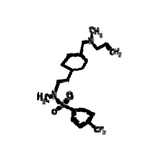 C=CCN(C)CC1CCC(CCN(C)S(=O)(=O)c2ccc(C(F)(F)F)cc2)CC1